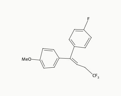 COc1ccc(C(=CCC(F)(F)F)c2ccc(F)cc2)cc1